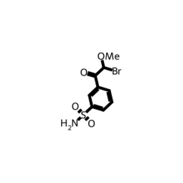 COC(Br)C(=O)c1cccc(S(N)(=O)=O)c1